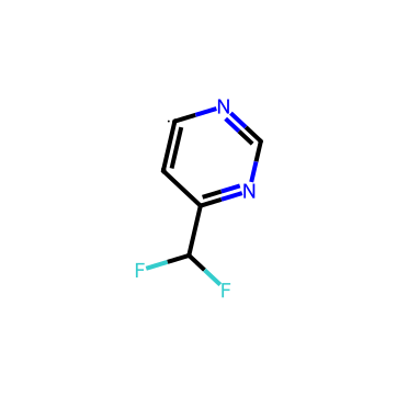 FC(F)c1c[c]ncn1